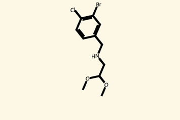 COC(CNCc1ccc(Cl)c(Br)c1)OC